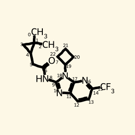 CC1(C)CC1CC(=O)Nc1nc2ccc(C(F)(F)F)nc2n1C1CCC1